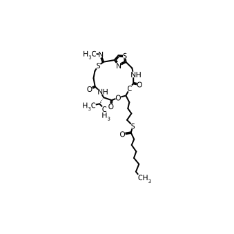 CCCCCCCC(=O)SCCCCC1CC(=O)NCc2nc(cs2)/C(=N/C)SCCC(=O)N[C@@H](C(C)C)C(=O)O1